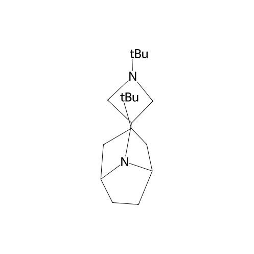 CC(C)(C)C1CC2CCC(C1)N2C1CN(C(C)(C)C)C1